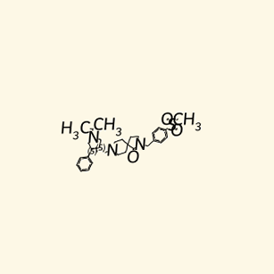 CC(C)N1C[C@H](CN2CCC3(CC2)CCN(Cc2ccc(S(C)(=O)=O)cc2)C3=O)[C@@H](c2ccccc2)C1